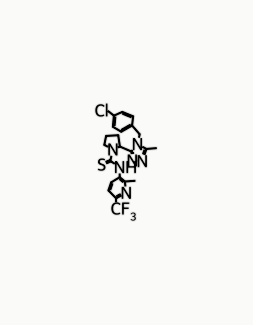 Cc1nc(C(F)(F)F)ccc1NC(=S)N1CCCC1c1nnc(C)n1Cc1ccc(Cl)cc1